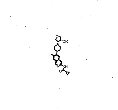 O=C(Nc1cc2cc(C3CCN([C@@H]4COC[C@@H]4O)CC3)c(Cl)cc2cn1)C1CC1